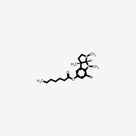 CCCCCCC(=O)Oc1cc(Br)c2c(c1)[C@]1(C)CCN(C)[C@@H]1N2C